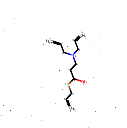 C=CCSC(O)CCN(CC=C)CC=C